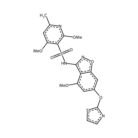 COc1cc(C)nc(OC)c1S(=O)(=O)Nc1noc2cc(Oc3nccs3)cc(OC)c12